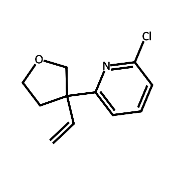 C=CC1(c2cccc(Cl)n2)CCOC1